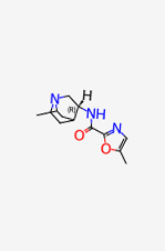 Cc1cnc(C(=O)N[C@H]2CN3CCC2CC3C)o1